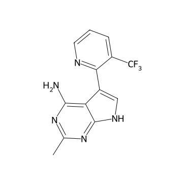 Cc1nc(N)c2c(-c3ncccc3C(F)(F)F)c[nH]c2n1